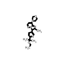 CCOC(C)(C)c1ccc(C2C(C)N=C3C(N4CCOCC4)=CC=NN32)cn1